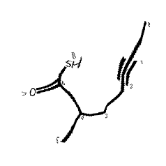 CC#CCC(C)C(=O)S